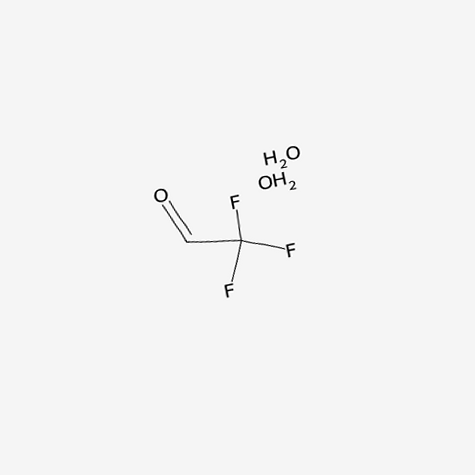 O.O.O=CC(F)(F)F